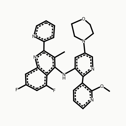 COc1ncccc1-c1ncc(N2CCOCC2)cc1Nc1c(C)c(-c2ccccn2)nc2cc(F)cc(F)c12